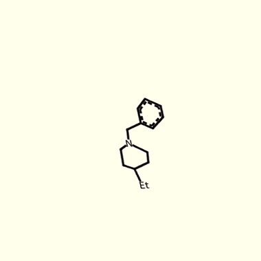 [CH2]CC1CCN(Cc2ccccc2)CC1